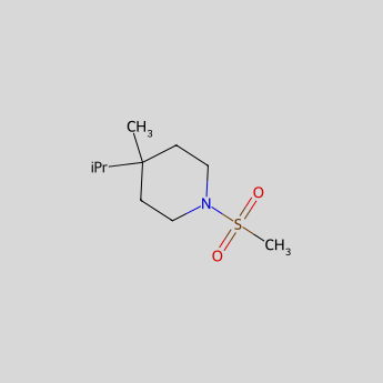 CC(C)C1(C)CCN(S(C)(=O)=O)CC1